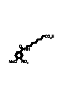 COc1ccc(C(=O)NCCCCCCCC(=O)O)cc1[N+](=O)[O-]